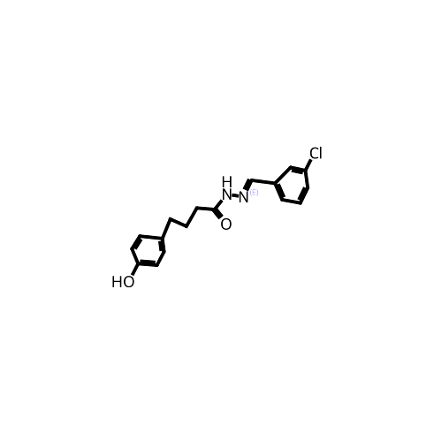 O=C(CCCc1ccc(O)cc1)N/N=C/c1cccc(Cl)c1